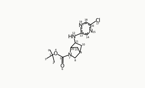 CC(C)(C)OC(=O)N1CC2CC(Nc3cnc(Cl)cn3)C1C2